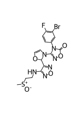 C[S+]([O-])CCNc1nonc1C1OC=CN1c1noc(=O)n1-c1ccc(F)c(Br)c1